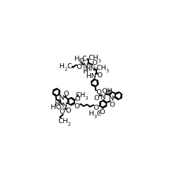 C=CCOC(=O)N[C@H](C(=O)N[C@@H](C)C(=O)Nc1ccc(COC(=O)N2c3cc(OCCCCCOc4cc5c(cc4OC)C(=O)N4c6ccccc6C[C@H]4C(O)N5C(=O)OCC=C)c(OC)cc3C(=O)N3c4ccccc4C[C@H]3C2O)cc1)C(C)C